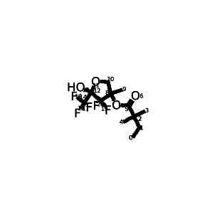 CCC(C)(C)C(=O)OC1(C)COC(O)(C(F)(F)F)C1(F)F